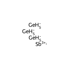 [GeH5-].[GeH5-].[GeH5-].[Sb+3]